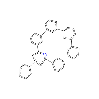 c1ccc(-c2cccc(-c3cccc(-c4cccc(-c5cc(-c6ccccc6)cc(-c6ccccc6)n5)c4)c3)c2)cc1